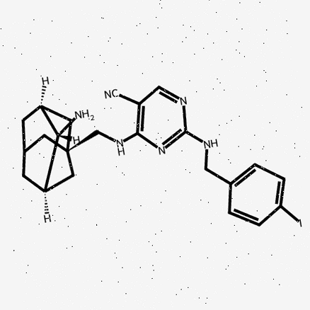 N#Cc1cnc(NCc2ccc(I)cc2)nc1NC[C@]12CC3C[C@H](C1)[C@@H](N)[C@@H](C3)C2